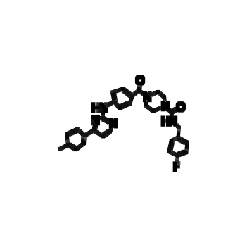 Cc1ccc(-c2ccnc(Nc3ccc(C(=O)N4CCN(C(=O)NCc5ccc(F)cc5)CC4)cc3)n2)cc1